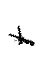 CCCCCCCCOC(OCCCCCCCC)c1c(C)c(Cc2cccc(Oc3ccccc3)c2)nc(CCC)c1O